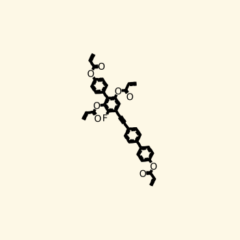 C=CC(=O)Oc1ccc(-c2ccc(C#Cc3cc(OC(=O)C=C)c(-c4ccc(OC(=O)C=C)cc4)c(OC(=O)C=C)c3F)cc2)cc1